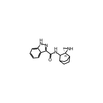 O=C(NC1C2CCC(CC2)[C@@]12CN2)c1n[nH]c2ccccc12